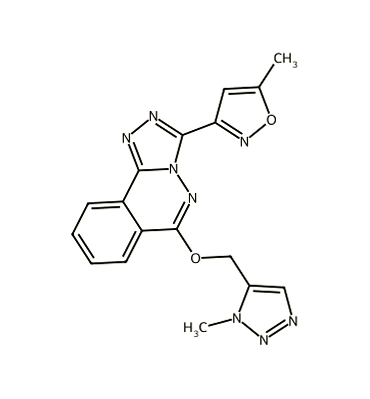 Cc1cc(-c2nnc3c4ccccc4c(OCc4cnnn4C)nn23)no1